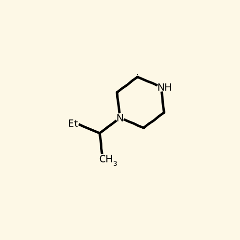 CCC(C)N1C[CH]NCC1